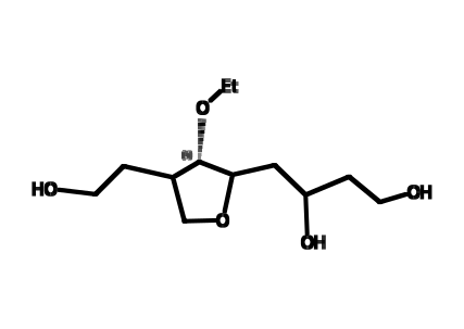 CCO[C@H]1C(CCO)COC1CC(O)CCO